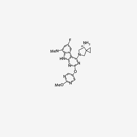 CNc1cc(F)cc2c1[nH]c1nc(Oc3cnc(OC)nc3)nc(N3C[C@H](N)C4(CC4)C3)c12